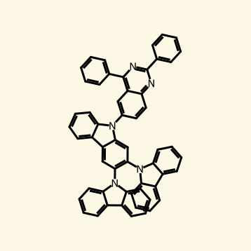 c1ccc(-c2nc(-c3ccccc3)c3cc(-n4c5ccccc5c5cc(-n6c7ccccc7c7ccccc76)c(-n6c7ccccc7c7ccccc76)cc54)ccc3n2)cc1